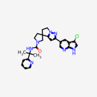 CC(C)(NC(=O)N1CCC2(CCn3nc(-c4cnc5[nH]cc(Cl)c5c4)cc32)C1)c1ccccn1